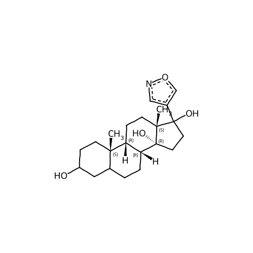 C[C@]12CCC(O)CC1CC[C@@H]1[C@H]2CC[C@]2(C)C(O)(c3cnoc3)CC[C@@]12O